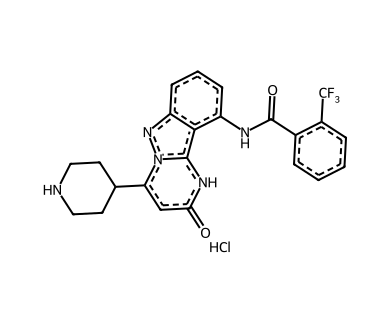 Cl.O=C(Nc1cccc2nn3c(C4CCNCC4)cc(=O)[nH]c3c12)c1ccccc1C(F)(F)F